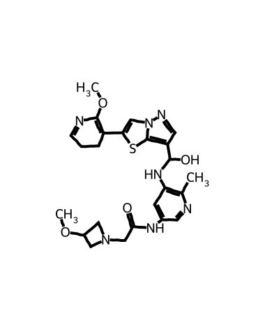 COC1=C(c2cn3ncc(C(O)Nc4cc(NC(=O)CN5CC(OC)C5)cnc4C)c3s2)CCC=N1